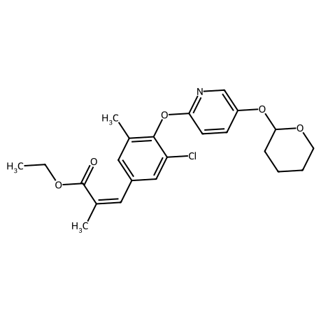 CCOC(=O)C(C)=Cc1cc(C)c(Oc2ccc(OC3CCCCO3)cn2)c(Cl)c1